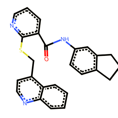 O=C(Nc1ccc2c(c1)CCC2)c1cccnc1SCc1ccnc2ccccc12